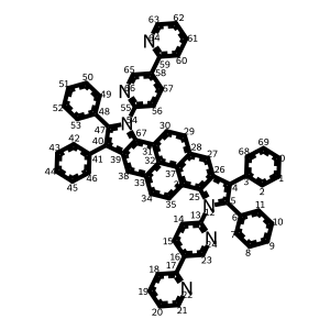 c1ccc(-c2c(-c3ccccc3)n(-c3ccc(-c4ccccn4)cn3)c3c2cc2ccc4c5c(ccc3c25)cc2c(-c3ccccc3)c(-c3ccccc3)n(-c3ccc(-c5ccccn5)cn3)c24)cc1